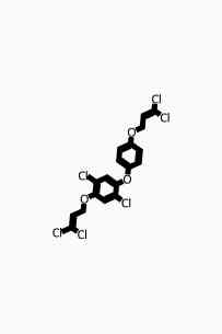 ClC(Cl)=CCOc1ccc(Oc2cc(Cl)c(OCC=C(Cl)Cl)cc2Cl)cc1